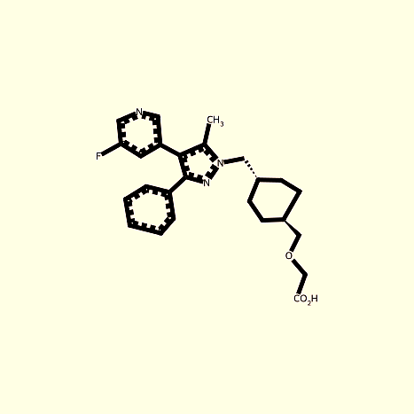 Cc1c(-c2cncc(F)c2)c(-c2ccccc2)nn1C[C@H]1CC[C@H](COCC(=O)O)CC1